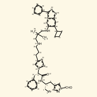 CC(C)C[C@@H](Cc1cn(C=O)nn1)NC(=O)[C@H](Cc1ccccc1)n1cc(CCCNCC(C)(C)CNc2nn3c(-c4ccccc4)nnc3cc2C2CCC2)nn1